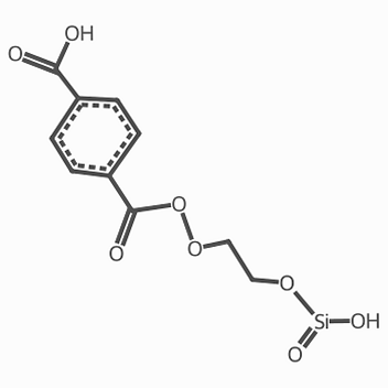 O=C(O)c1ccc(C(=O)OOCCO[Si](=O)O)cc1